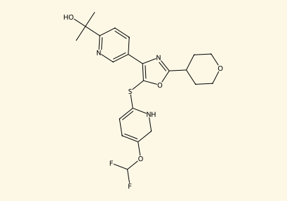 CC(C)(O)c1ccc(-c2nc(C3CCOCC3)oc2SC2=CC=C(OC(F)F)CN2)cn1